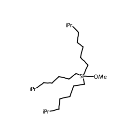 CO[Si](CCCCCC(C)C)(CCCCCC(C)C)CCCCCC(C)C